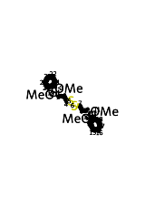 CO[Si](CCCSSCCC[Si](OC)(OC)c1ccccc1)(OC)c1ccccc1